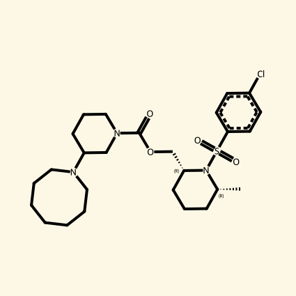 C[C@@H]1CCC[C@H](COC(=O)N2CCCC(N3CCCCCCC3)C2)N1S(=O)(=O)c1ccc(Cl)cc1